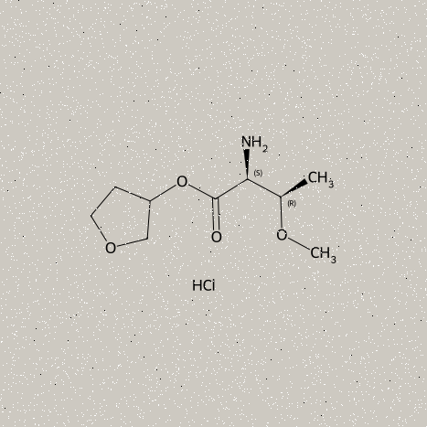 CO[C@H](C)[C@H](N)C(=O)OC1CCOC1.Cl